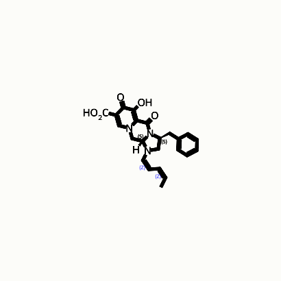 C/C=C\C=C/N1C[C@H](Cc2ccccc2)N2C(=O)c3c(O)c(=O)c(C(=O)O)cn3C[C@@H]12